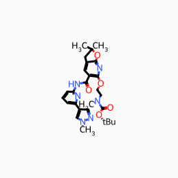 CN(CCOc1nc2c(cc1C(=O)Nc1cccc(-c3cnn(C)c3)n1)CC(C)(C)O2)C(=O)OC(C)(C)C